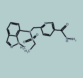 CCS(=O)(=O)N(Cc1ccc(C(=O)NN)cn1)c1cccc2cnn(C)c12